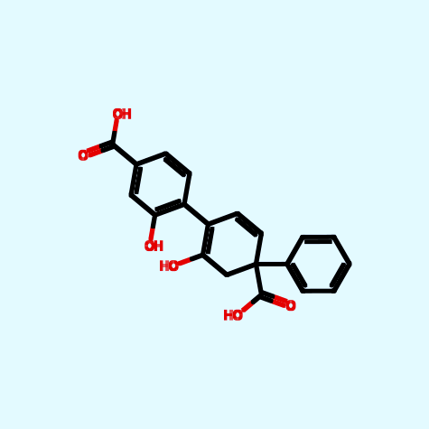 O=C(O)c1ccc(C2=C(O)CC(C(=O)O)(c3ccccc3)C=C2)c(O)c1